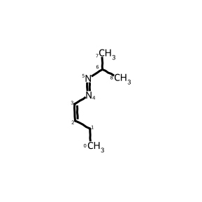 CC/C=C\N=N\C(C)C